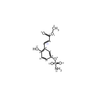 COC(=O)/C=C/c1cc(OS(N)(=O)=O)ccc1O